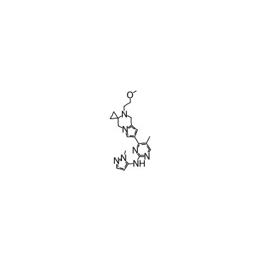 COCCN1Cc2cc(-c3nc(Nc4ccnn4C)ncc3C)cn2CC12CC2